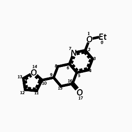 CCOc1ccc2c(n1)CC(c1ccco1)CC2=O